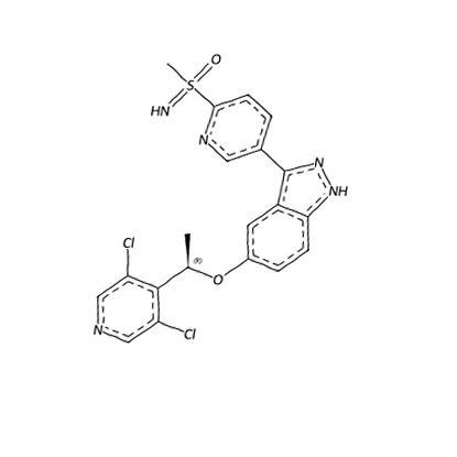 C[C@@H](Oc1ccc2[nH]nc(-c3ccc(S(C)(=N)=O)nc3)c2c1)c1c(Cl)cncc1Cl